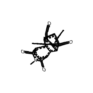 Cn1c(=O)c2ccc(c1=O)c1c3ccc(c(=O)n(C)c3=O)c21